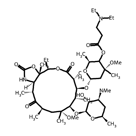 CC[C@H]1OC(=O)[C@H](C)[C@@H](O[C@H]2C[C@@](C)(OC)C(OC(=O)CCN(CC)CC)[C@H](C)O2)[C@H](C)[C@@H](O[C@@H]2O[C@H](C)C[C@H](NC)[C@H]2O)[C@](C)(OC)C[C@@H](C)C(=O)[C@H](C)[C@H]2NC(=O)O[C@@]21C